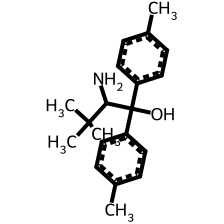 Cc1ccc(C(O)(c2ccc(C)cc2)C(N)C(C)(C)C)cc1